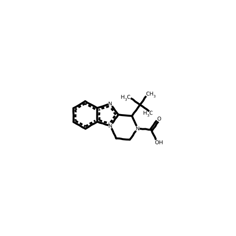 CC(C)(C)C1c2nc3ccccc3n2CCN1C(=O)O